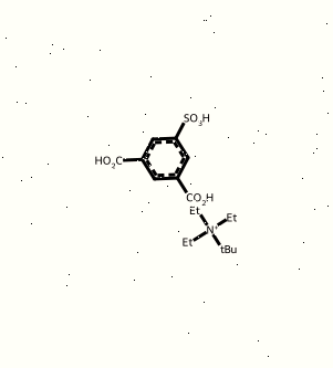 CC[N+](CC)(CC)C(C)(C)C.O=C(O)c1cc(C(=O)O)cc(S(=O)(=O)O)c1